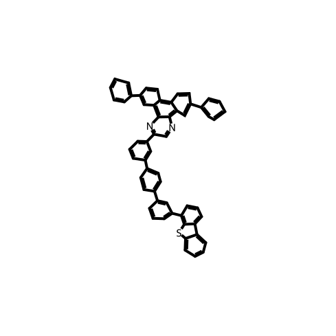 c1ccc(-c2ccc3c4ccc(-c5ccccc5)cc4c4nc(-c5cccc(-c6ccc(-c7cccc(-c8cccc9c8sc8ccccc89)c7)cc6)c5)cnc4c3c2)cc1